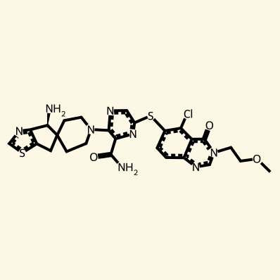 COCCn1cnc2ccc(Sc3cnc(N4CCC5(CC4)Cc4scnc4[C@H]5N)c(C(N)=O)n3)c(Cl)c2c1=O